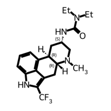 CCN(CC)C(=O)N[C@H]1C[C@@H]2c3cccc4[nH]c(C(F)(F)F)c(c34)C[C@H]2N(C)C1